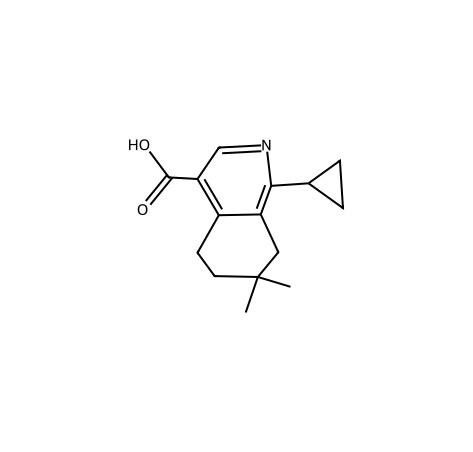 CC1(C)CCc2c(C(=O)O)cnc(C3CC3)c2C1